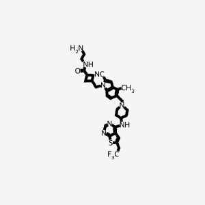 Cc1c(CN2CCC(Nc3ncnc4sc(CC(F)(F)F)cc34)CC2)ccc2c1cc(C#N)n2CC1CC(C(=O)NCCN)C1